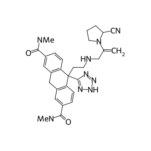 C=C(CNCCC1(c2nn[nH]n2)c2ccc(C(=O)NC)cc2Cc2cc(C(=O)NC)ccc21)N1CCCC1C#N